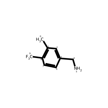 Cc1cc(CN)ccc1C(F)(F)F